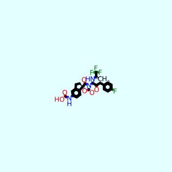 C[C@H](NC(C(=O)Cc1ccc(F)cc1)N1C(=O)O[C@@]2(CCc3cc(NC(=O)O)ccc32)C1=O)C(F)(F)F